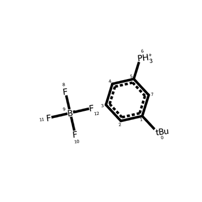 CC(C)(C)c1cccc([PH3+])c1.F[B-](F)(F)F